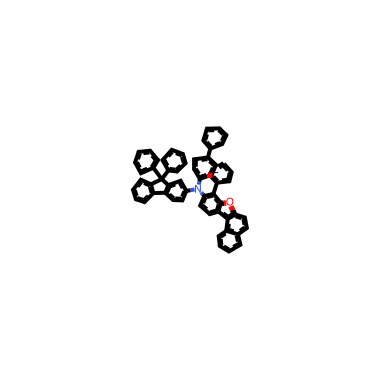 c1ccc(-c2ccc(N(c3ccc4c(c3)C(c3ccccc3)(c3ccccc3)c3ccccc3-4)c3ccc4c(oc5ccc6ccccc6c54)c3-c3ccccc3)cc2)cc1